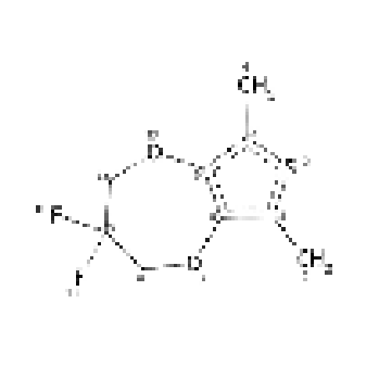 Cc1sc(C)c2c1OCC(F)(F)CO2